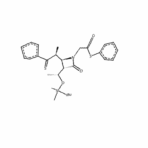 C[C@H](C(=S)c1ccccc1)[C@@H]1[C@@H]([C@@H](C)O[Si](C)(C)C(C)(C)C)C(=O)N1CC(=O)Sc1ccccc1